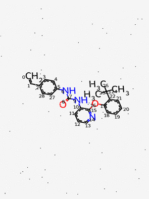 C=Cc1ccc(NC(=O)Nc2cccnc2Oc2ccccc2C(C)(C)C)cc1